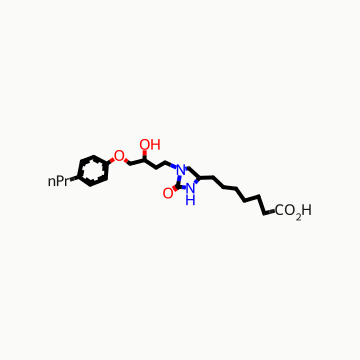 CCCc1ccc(OCC(O)CCN2CC(CCCCCCC(=O)O)NC2=O)cc1